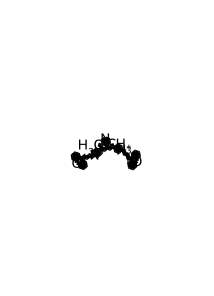 CCC(CC(CC(C)c1cc[n+](CCCCN2c3ccccc3Oc3ccccc32)cc1)c1ccncc1)c1cc[n+](CCCCN2c3ccccc3Oc3ccccc32)cc1